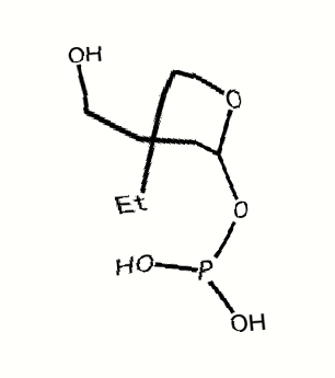 CCC1(CO)COC1OP(O)O